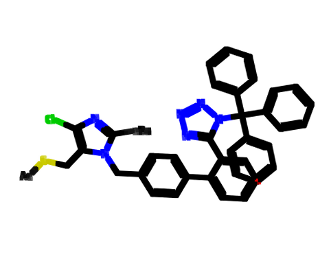 CCCCc1nc(Cl)c(CSC(C)=O)n1Cc1ccc(-c2ccccc2-c2nnnn2C(c2ccccc2)(c2ccccc2)c2ccccc2)cc1